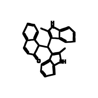 Cc1[nH]c2ccccc2c1C(c1c(C)[nH]c2ccccc12)C1C(=O)C=Cc2ccccc21